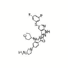 N[C@H]1CCN(c2ccc(C(=O)Nc3n[nH]c4ncc(Sc5cc(F)cc(F)c5)cc34)c(NC3CCOCC3)c2)C1